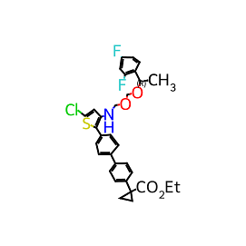 CCOC(=O)C1(c2ccc(-c3ccc(-c4sc(Cl)cc4NCOCO[C@H](C)c4ccc(F)cc4F)cc3)cc2)CC1